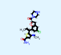 C=Nc1cc(C(N)=O)sc1/C(=C\C)c1cc(Cl)cc2c1O[C@@H](C(=O)N1CCNCC1)C2